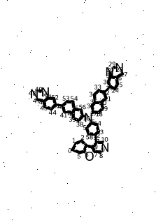 c1ccc2c(c1)oc1cncc(-c3ccc(N(c4ccc5cc(-c6ccc7cncnc7c6)ccc5c4)c4ccc5cc(-c6ccc7cncnc7c6)ccc5c4)cc3)c12